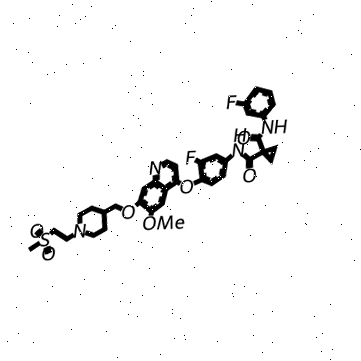 COc1cc2c(Oc3ccc(NC(=O)C4(C(=O)Nc5cccc(F)c5)CC4)cc3F)ccnc2cc1OCC1CCN(CCS(C)(=O)=O)CC1